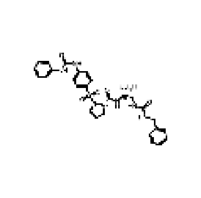 O=C(NCc1ccccc1)NC[C@H](NC(=O)[C@@H]1CCCN1S(=O)(=O)c1ccc(NC(=O)Nc2ccccc2)cc1)C(=O)O